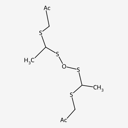 CC(=O)CSC(C)SOSC(C)SCC(C)=O